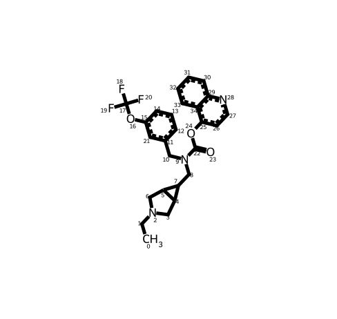 CCN1CC2C(C1)C2CN(Cc1cccc(OC(F)(F)F)c1)C(=O)Oc1ccnc2ccccc12